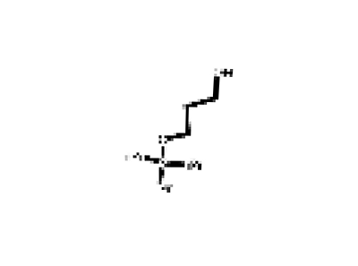 CCC[Si](CCC)(OCCCO)C(C)C